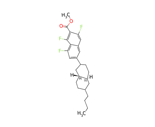 CCCCC1CC[C@@H]2CC(c3cc(F)c4c(F)c(C(=O)OC)c(F)cc4c3)CC[C@H]2C1